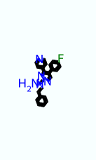 NN(CCc1ccccc1)c1ncc(-c2ccc(F)cc2)c(-c2ccncc2)n1